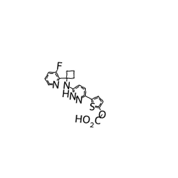 O=C(O)Oc1ccc(-c2ccc(NC3(c4ncccc4F)CCC3)nn2)s1